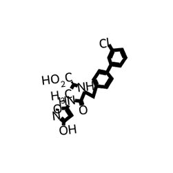 C[C@H](NC(Cc1ccc(-c2cccc(Cl)c2)cc1)C(=O)Nc1cc(O)no1)C(=O)O